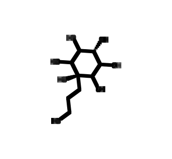 OCCC[C@]1(O)C(O)C(O)[C@H](O)C(O)C1O